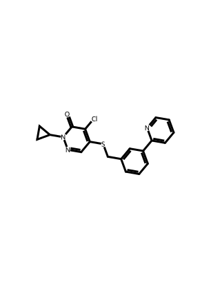 O=c1c(Cl)c(SCc2cccc(-c3ccccn3)c2)cnn1C1CC1